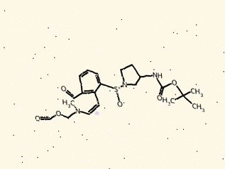 CN(/C=C\c1c(C=O)cccc1[S+]([O-])N1CCC(NC(=O)OC(C)(C)C)C1)COC=O